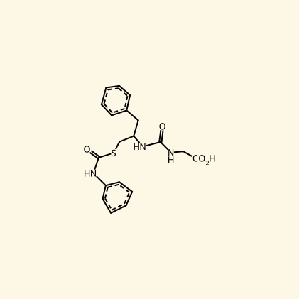 O=C(O)CNC(=O)NC(CSC(=O)Nc1ccccc1)Cc1ccccc1